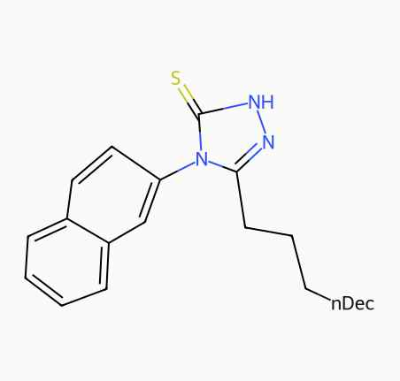 CCCCCCCCCCCCCc1n[nH]c(=S)n1-c1ccc2ccccc2c1